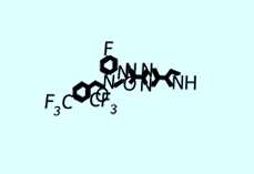 O=C(Cc1ccc(C(F)(F)F)cc1C(F)(F)F)N(Cc1nnc(-c2ncc(C3CCNC3)cn2)o1)c1ccc(F)cc1